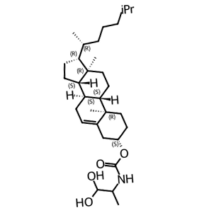 CC(C)CCC[C@@H](C)[C@H]1CC[C@H]2[C@@H]3CC=C4C[C@@H](OC(=O)NC(C)C(O)O)CC[C@]4(C)[C@H]3CC[C@]12C